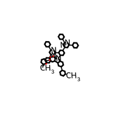 Cc1cccc(-c2ccc3c(c2)c2cc(-c4cccc(C)c4)ccc2n3-c2ccc(-c3cc(-c4ccccc4)nc(-c4ccccc4)n3)cc2-c2nc(-c3ccccc3)cc(-c3ccccc3)n2)c1